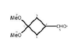 COC1(OC)CC([C]=O)C1